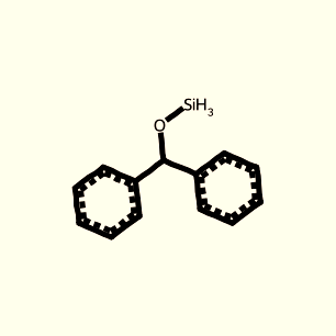 [SiH3]OC(c1ccccc1)c1ccccc1